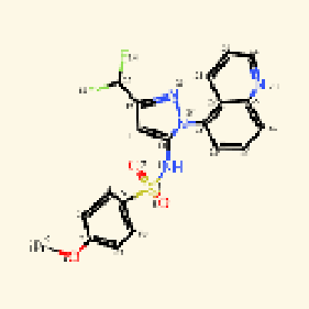 CC(C)Oc1ccc(S(=O)(=O)Nc2cc(C(F)F)nn2-c2cccc3ncccc23)cc1